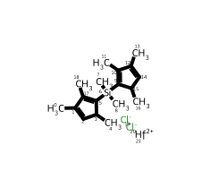 CC1=CC(C)C([Si](C)(C)C2=C(C)C(C)=CC2C)=C1C.[Cl-].[Cl-].[Hf+2]